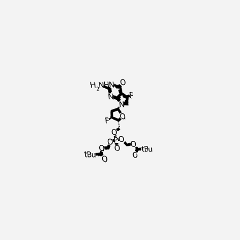 CC(C)(C)C(=O)OCOP(=O)(OCOC(=O)C(C)(C)C)OC[C@H]1O[C@@H](n2cc(F)c3c(=O)[nH]c(N)nc32)C[C@@H]1F